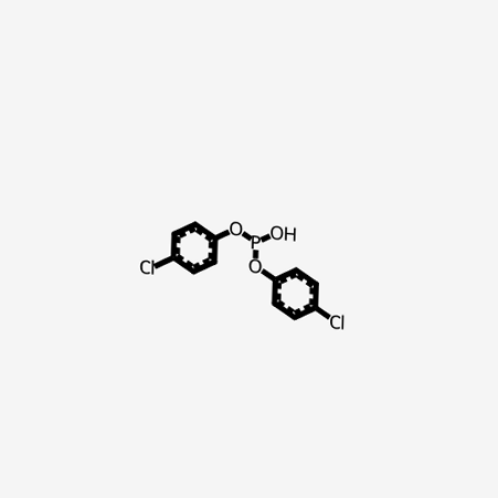 OP(Oc1ccc(Cl)cc1)Oc1ccc(Cl)cc1